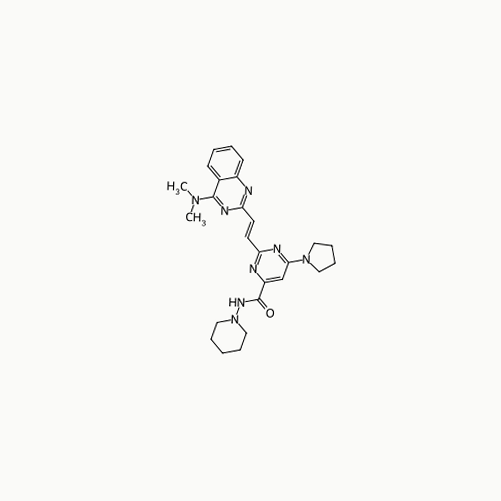 CN(C)c1nc(C=Cc2nc(C(=O)NN3CCCCC3)cc(N3CCCC3)n2)nc2ccccc12